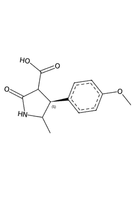 COc1ccc([C@H]2C(C)NC(=O)C2C(=O)O)cc1